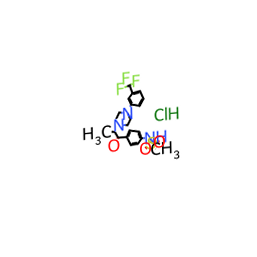 CC(C(=O)c1ccc(NS(C)(=O)=O)cc1)N1CCN(c2cccc(C(F)(F)F)c2)CC1.Cl